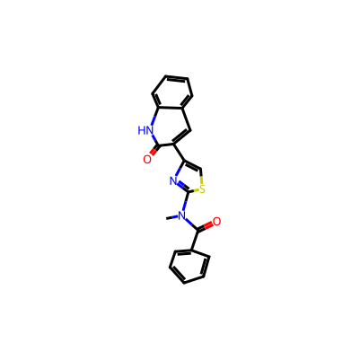 CN(C(=O)c1ccccc1)c1nc(-c2cc3ccccc3[nH]c2=O)cs1